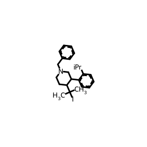 CC(C)c1ccccc1C1CN(Cc2ccccc2)CCC1C(C)(C)I